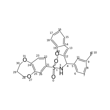 O=S(=O)(NC(c1cccc(F)c1)c1cc2ccccc2o1)c1ccc2c(c1)OCCCO2